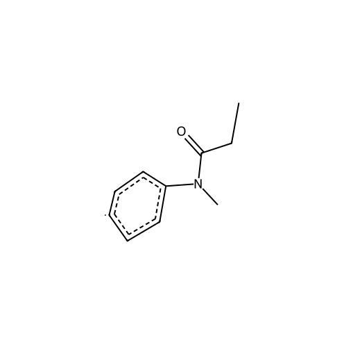 CCC(=O)N(C)c1cc[c]cc1